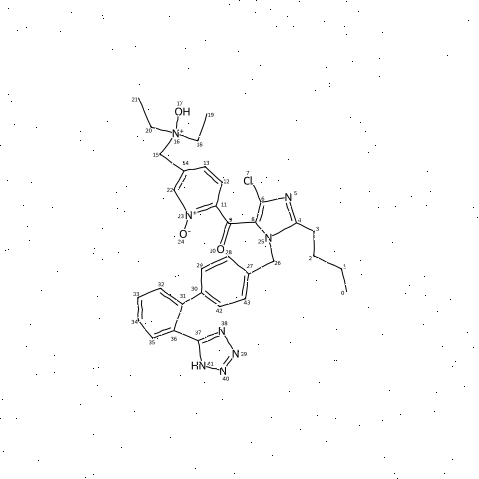 CCCCc1nc(Cl)c(C(=O)c2ccc(C[N+](O)(CC)CC)c[n+]2[O-])n1Cc1ccc(-c2ccccc2-c2nnn[nH]2)cc1